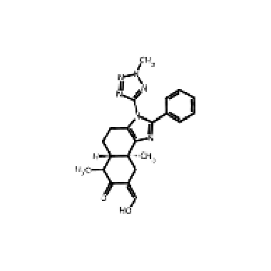 C[C@@H]1C(=O)/C(=C\O)C[C@]2(C)c3nc(-c4ccccc4)n(-c4nnn(C)n4)c3CC[C@@H]12